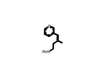 CNCCC(C)=Cc1cccnc1